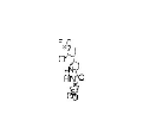 O=C(N[C@@H]1C=CS(=O)(=O)C1)c1ccc(-c2ccc(C(F)(F)F)cc2Cl)c[n+]1[O-]